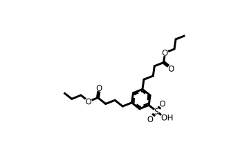 CCCOC(=O)CCCc1cc(CCCC(=O)OCCC)cc(S(=O)(=O)O)c1